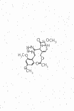 COc1ccc(Cn2nnnc2C2C(COC(C)=O)=CS[C@@H]3[C@@H](OC)C(=O)N23)c(OC)c1